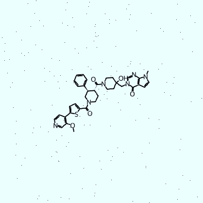 COc1cnccc1-c1ccc(C(=O)N2CC[C@@H](C(=O)N3CCC(O)(Cn4cnc5c(ccn5C)c4=O)CC3)[C@H](c3ccccc3)C2)s1